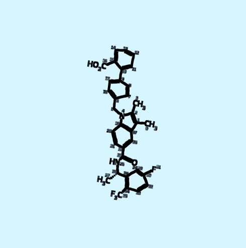 Cc1c(C)n(Cc2ccc(-c3ccccc3C(=O)O)cc2)c2ccc(C(=O)N[C@@H](C)c3cc(F)ccc3C(F)(F)F)cc12